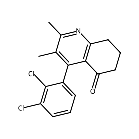 Cc1nc2c(c(-c3cccc(Cl)c3Cl)c1C)C(=O)CCC2